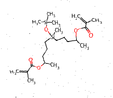 C=C(C)C(=O)OC(C)CCC[Si](C)(CCCC(C)OC(=O)C(=C)C)O[Si](C)(C)C